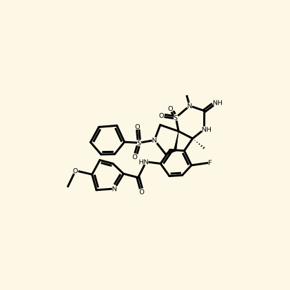 COc1ccc(C(=O)Nc2ccc(F)c([C@]3(C)NC(=N)N(C)S(=O)(=O)[C@]34CCN(S(=O)(=O)c3ccccc3)C4)c2)nc1